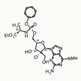 CCOC(=O)[C@@H](C)NP(=O)(OC[C@H]1O[C@@H](n2cnc3c(NC)nc(N)nc32)[C@@](Cl)(CO)[C@@H]1O)Oc1ccccc1